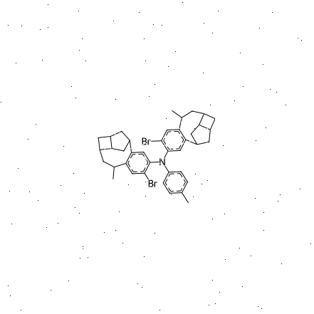 Cc1ccc(N(c2cc3c(cc2Br)C(C)CC2CC4CC3CC24)c2cc3c(cc2Br)C(C)CC2CC4CC3CC24)cc1